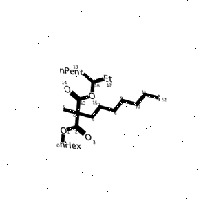 CCCCCCOC(=O)C(C)(CCCCCCI)C(=O)OC(CC)CCCCC